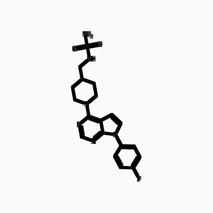 NS(=O)(=O)NCC1CCN(c2ncnc3c2ccn3-c2ccc(F)cc2)CC1